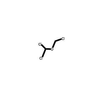 ClCOC(Cl)Cl